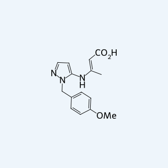 COc1ccc(Cn2nccc2NC(C)=CC(=O)O)cc1